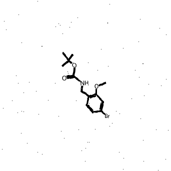 COc1cc(Br)ccc1CNC(=O)OC(C)(C)C